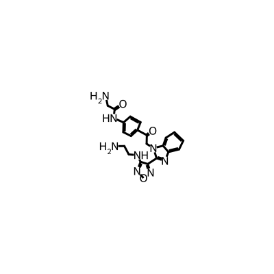 NCCNc1nonc1-c1nc2ccccc2n1CC(=O)c1ccc(NC(=O)CN)cc1